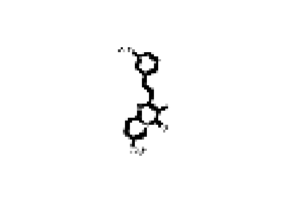 COc1cccc(/C=C/c2nc3ccc(C(=O)O)cn3c(=O)c2C)c1